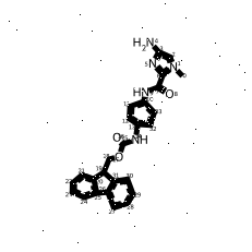 Cn1cc(N)nc1C(=O)Nc1ccc(NC(=O)OCC2c3ccccc3-c3ccccc32)cc1